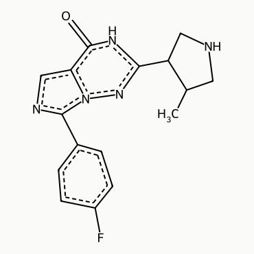 CC1CNCC1c1nn2c(-c3ccc(F)cc3)ncc2c(=O)[nH]1